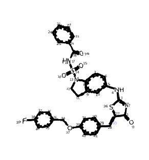 O=C1N=C(Nc2ccc3c(c2)CCN3S(=O)(=O)NC(=O)c2ccccc2)S/C1=C\c1ccc(OCc2ccc(F)cc2)cc1